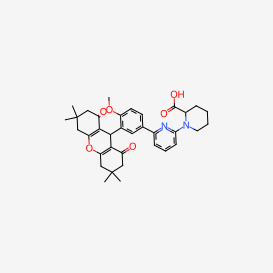 COc1ccc(-c2cccc(N3CCCCC3C(=O)O)n2)cc1C1C2=C(CC(C)(C)CC2=O)OC2=C1C(=O)CC(C)(C)C2